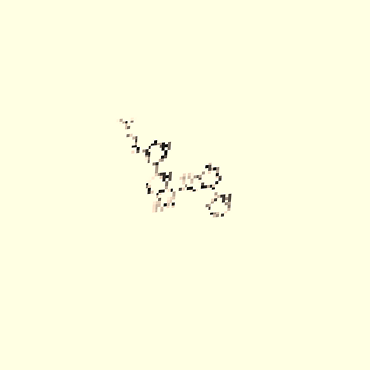 CN(C)CCOc1cncc(-c2ccc3[nH]nc(-c4cc5c(-c6ccccn6)ccnc5[nH]4)c3n2)c1